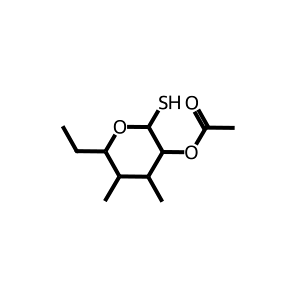 CCC1OC(S)C(OC(C)=O)C(C)C1C